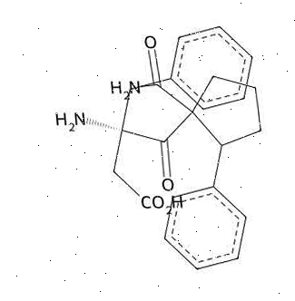 NC(=O)C1(C(=O)[C@@](N)(CC(=O)O)Cc2ccccc2)CCCC1c1ccccc1